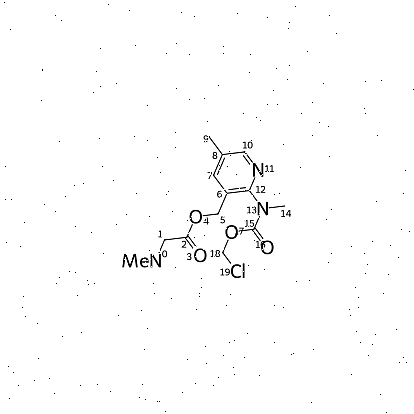 CNCC(=O)OCc1cc(C)cnc1N(C)C(=O)OCCl